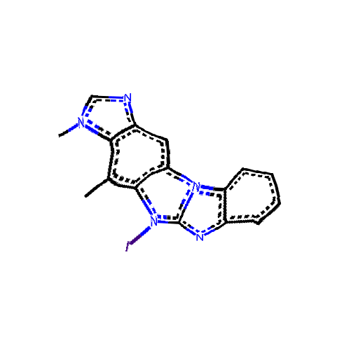 Cc1c2c(cc3c1n(I)c1nc4ccccc4n31)ncn2C